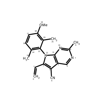 C=Cc1c(C#N)c2cnc(C)nc2n1-c1c(C)ccc(OC)c1C